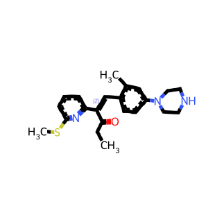 CCC(=O)/C(=C\c1ccc(N2CCNCC2)cc1C)c1cccc(SC)n1